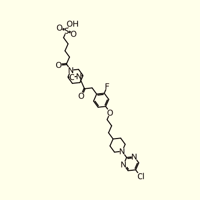 O=C(CCCCS(=O)(=O)O)N1CC2CCC1CN2C(=O)Cc1ccc(OCCCC2CCN(c3ncc(Cl)cn3)CC2)cc1F